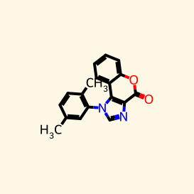 Cc1ccc(C)c(-n2cnc3c(=O)oc4ccccc4c32)c1